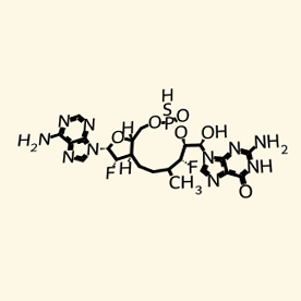 CC1CC[C@H]2[C@H](F)[C@H](n3cnc4c(N)ncnc43)O[C@@H]2COP(=O)(S)O[C@@H]([C@@H](O)n2cnc3c(=O)[nH]c(N)nc32)[C@@H]1F